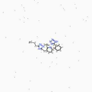 CCCCn1nc(CCC(C)C)nc1Cc1ccc(-c2ccccc2-c2nnn[nH]2)nc1